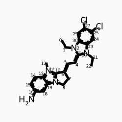 CCN1C(=CC=C2CCn3c2[n+](C)c2ccc(N)cc23)N(CC)c2cc(Cl)c(Cl)cc21